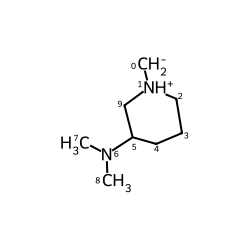 [CH2-][NH+]1CCCC(N(C)C)C1